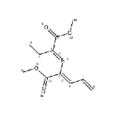 C=C/C=C(\N=C(/CC)C(=O)OC)C(=O)OC